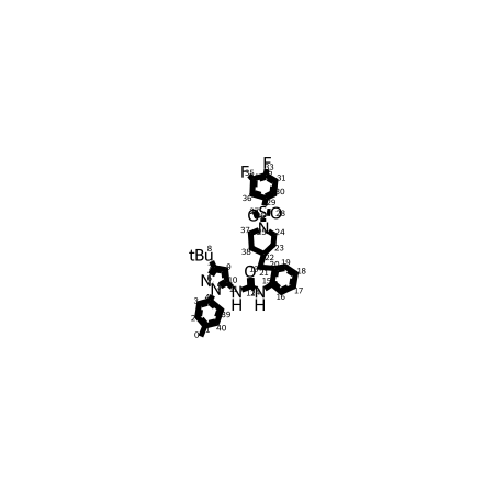 Cc1ccc(-n2nc(C(C)(C)C)cc2NC(=O)Nc2ccccc2CC2CCN(S(=O)(=O)c3ccc(F)c(F)c3)CC2)cc1